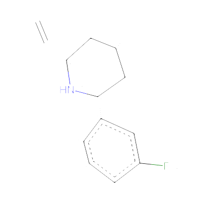 C=C[C@@H]1CCC[C@H](c2cccc(F)c2)N1